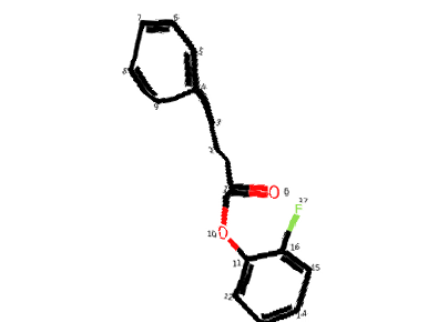 O=C(CCc1ccccc1)Oc1ccccc1F